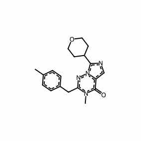 Cc1ccc(Cc2nn3c(C4CCOCC4)ncc3c(=O)n2C)cc1